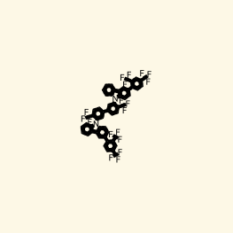 FC(F)(F)c1ccc(-c2ccc3c(c2)c2ccccc2n3-c2cc(-c3ccc(C(F)(F)F)c(-n4c5ccccc5c5cc(-c6ccc(C(F)(F)F)cc6C(F)(F)F)ccc54)c3)ccc2C(F)(F)F)c(C(F)(F)F)c1